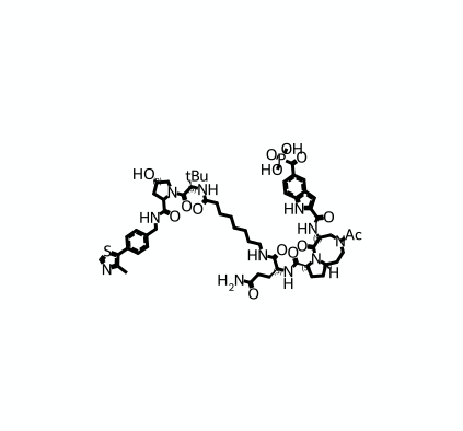 CC(=O)N1CC[C@H]2CC[C@@H](C(=O)N[C@@H](CCC(N)=O)C(=O)NCCCCCCCC(=O)N[C@H](C(=O)N3C[C@H](O)CC3C(=O)NCc3ccc(-c4scnc4C)cc3)C(C)(C)C)N2C(=O)[C@@H](NC(=O)c2cc3cc(C(=O)P(=O)(O)O)ccc3[nH]2)C1